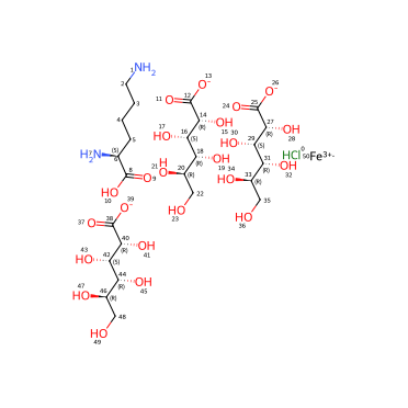 Cl.NCCCC[C@H](N)C(=O)O.O=C([O-])[C@H](O)[C@@H](O)[C@H](O)[C@H](O)CO.O=C([O-])[C@H](O)[C@@H](O)[C@H](O)[C@H](O)CO.O=C([O-])[C@H](O)[C@@H](O)[C@H](O)[C@H](O)CO.[Fe+3]